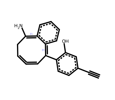 C#Cc1ccc(/C2=c3\cccc\c3=C(/N)CC=C=C2)c(O)c1